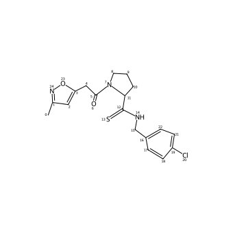 Cc1cc(CC(=O)N2CCCC2C(=S)NCc2ccc(Cl)cc2)on1